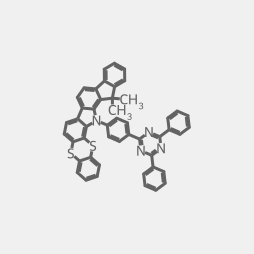 CC1(C)c2ccccc2-c2ccc3c4ccc5c(c4n(-c4ccc(-c6nc(-c7ccccc7)nc(-c7ccccc7)n6)cc4)c3c21)Sc1ccccc1S5